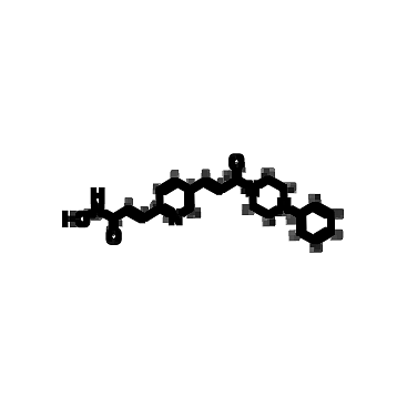 O=C(C=Cc1ccc(/C=C/C(=O)N2CCN(c3ccccc3)CC2)cn1)NO